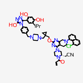 C=CC(=O)N1CCN(c2nc(OCC3(CN4CCN(Cc5ccc(-n6c(O)nnc6-c6cc(C(C)C)c(O)cc6O)cc5)CC4)CC3)nc3c2CCN(c2cccc4cccc(Cl)c24)C3)C[C@@H]1CC#N